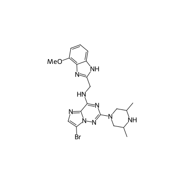 COc1cccc2[nH]c(CNc3nc(N4CC(C)NC(C)C4)nn4c(Br)cnc34)nc12